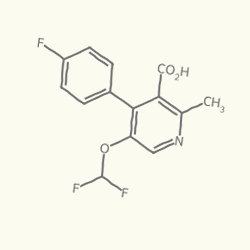 Cc1ncc(OC(F)F)c(-c2ccc(F)cc2)c1C(=O)O